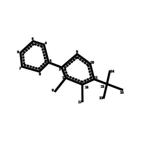 Cc1c(-c2ccccc2)ccc(C(C)(C)C)c1C